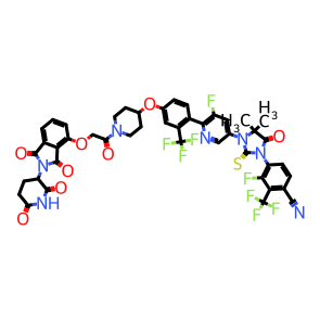 CC1(C)C(=O)N(c2ccc(C#N)c(C(F)(F)F)c2F)C(=S)N1c1cnc(-c2ccc(OC3CCN(C(=O)COc4cccc5c4C(=O)N(C4CCC(=O)NC4=O)C5=O)CC3)cc2C(F)(F)F)c(F)c1